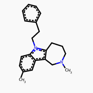 Cc1ccc2c(c1)c1c(n2CCc2ccccc2)CCCN(C)C1